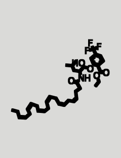 CC/C=C\C/C=C\C/C=C\C/C=C\C/C=C\C/C=C\CCC(=O)NC(CC(C)C)C(O)Oc1cc(C(F)(F)F)ccc1C(=O)OCC